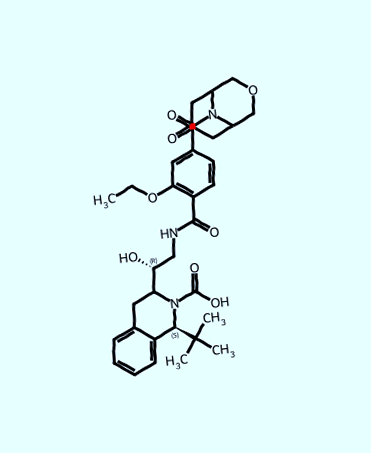 CCOc1cc(C(=O)N2C3COCC2CC(=O)C3)ccc1C(=O)NC[C@@H](O)C1Cc2ccccc2[C@H](C(C)(C)C)N1C(=O)O